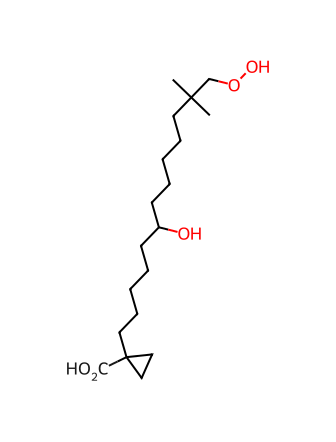 CC(C)(CCCCCC(O)CCCCCC1(C(=O)O)CC1)COO